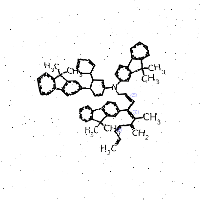 C=C/C=C\C(=C)/C(C)=C(/C=C\CN(C1=CC(C2C=CC=CC2)C(c2ccc3c(c2)C(C)(C)c2ccccc2-3)C=C1)c1ccc2c(c1)C(C)(C)c1ccccc1-2)c1ccc2c(c1)C(C)(C)c1ccccc1-2